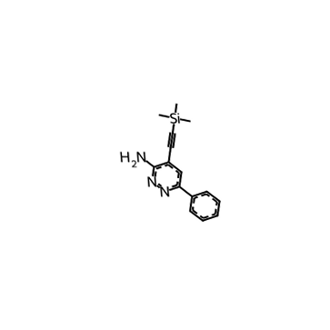 C[Si](C)(C)C#Cc1cc(-c2ccccc2)nnc1N